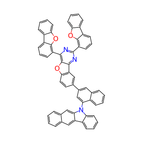 c1ccc2cc3c(cc2c1)c1ccccc1n3-c1cc(-c2ccc3oc4c(-c5cccc6c5oc5ccccc56)nc(-c5cccc6c5oc5ccccc56)nc4c3c2)cc2ccccc12